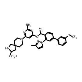 Cc1ccn(-c2cc(-c3cccc(OC(F)(F)F)c3)ccc2C(Oc2cc(N3CCC4(CC3)CNC(C(=O)O)C4)nc(N)n2)C(F)(F)F)n1